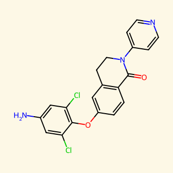 Nc1cc(Cl)c(Oc2ccc3c(c2)CCN(c2ccncc2)C3=O)c(Cl)c1